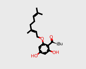 CC[C@H](C)C(=O)c1c(O)cc(O)cc1OC/C=C(\C)CCC=C(C)C